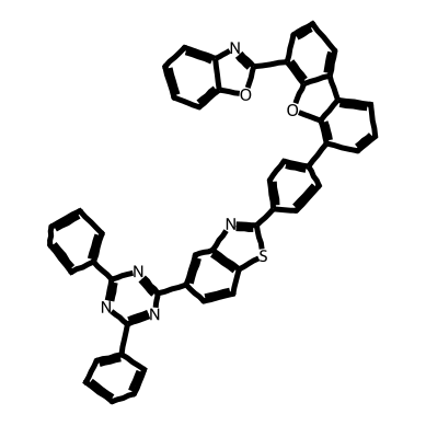 c1ccc(-c2nc(-c3ccccc3)nc(-c3ccc4sc(-c5ccc(-c6cccc7c6oc6c(-c8nc9ccccc9o8)cccc67)cc5)nc4c3)n2)cc1